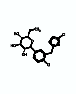 CS[C@H]1OC(c2ccc(Cl)c(Cc3ccc(Cl)s3)c2)[C@H](O)[C@@H](O)[C@@H]1O